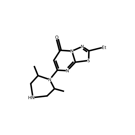 CCc1nn2c(=O)cc(N3C(C)CNCC3C)nc2s1